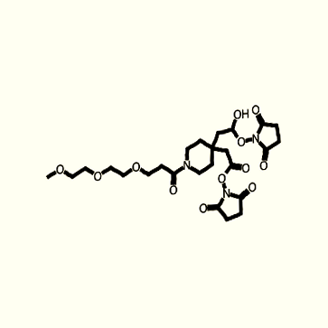 COCCOCCOCCC(=O)N1CCC(CC(=O)ON2C(=O)CCC2=O)(CC(O)ON2C(=O)CCC2=O)CC1